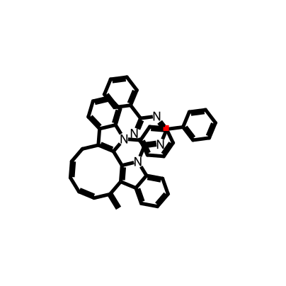 C=C1/C=C\C=C/Cc2c(n(-c3ccccc3)c3ccccc23)-c2c1c1ccccc1n2-c1nc(-c2ccccc2)nc(-c2ccccc2)n1